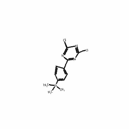 C[Si](C)(C)c1ccc(-c2nc(Cl)nc(Cl)n2)cc1